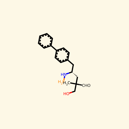 CC(C=O)(CO)C[C@@H](Cc1ccc(-c2ccccc2)cc1)NP